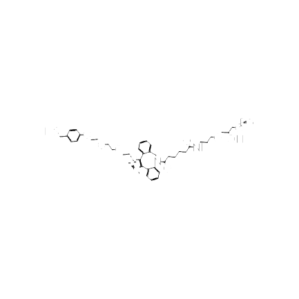 O=POCC(O)COCCCNC(=O)CCCCC(=O)N1Cc2ccccc2-c2c(nnn2CCOCCOCCOc2ccc(CS)cc2)-c2ccccc21